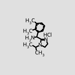 Cc1cccc(C(N)C2=NCCN2C(C)C)c1C.Cl